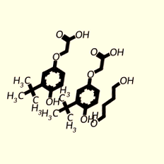 CC(C)(C)c1cc(OCC(=O)O)ccc1O.CC(C)(C)c1cc(OCC(=O)O)ccc1O.OCCCCO